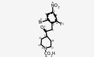 O=C(Cc1c(F)cc([N+](=O)[O-])cc1Br)C1CCN(C(=O)O)CC1